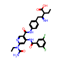 CCC(C(=N)Cc1ccc(NC(=O)c2cnc(N(CC)C(N)=O)cc2NC(=O)c2cc(F)cc(F)c2)cc1)C(=O)O